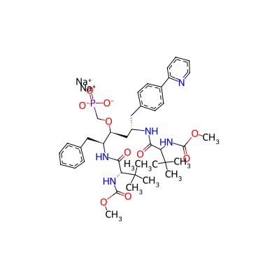 COC(=O)NC(C(=O)N[C@@H](Cc1ccc(-c2ccccn2)cc1)C[C@H](OCP(=O)([O-])[O-])[C@H](Cc1ccccc1)NC(=O)[C@@H](NC(=O)OC)C(C)(C)C)C(C)(C)C.[Na+].[Na+]